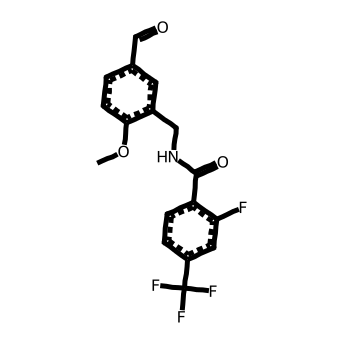 COc1ccc(C=O)cc1CNC(=O)c1ccc(C(F)(F)F)cc1F